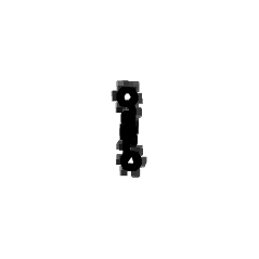 c1ccc(CON=NOCC2CCCCC2)cc1